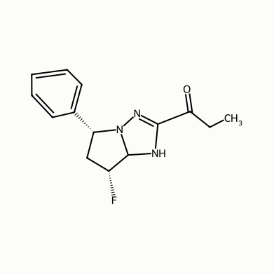 CCC(=O)C1=NN2C(N1)[C@H](F)C[C@@H]2c1ccccc1